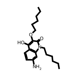 CCCCCCOc1c(O)c2ccc(N)cc2n(CCCCCC)c1=O